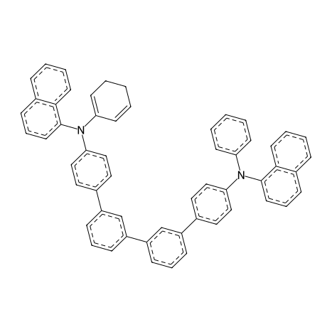 C1=CC(N(c2ccc(-c3cccc(-c4cccc(-c5ccc(N(c6ccccc6)c6cccc7ccccc67)cc5)c4)c3)cc2)c2cccc3ccccc23)=CCC1